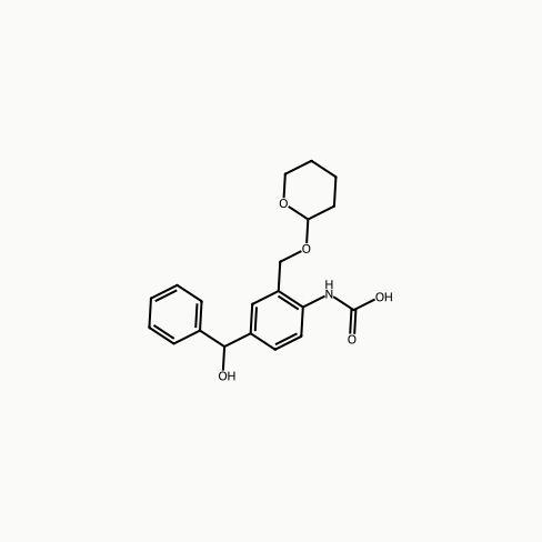 O=C(O)Nc1ccc(C(O)c2ccccc2)cc1COC1CCCCO1